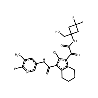 Cc1cc(NC(=O)c2c(Cl)c(C(=O)C(=O)NC3(CO)CC(F)(F)C3)n3c2CCCC3)cnc1F